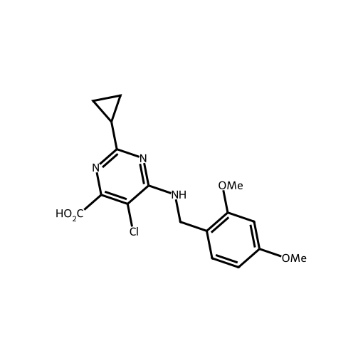 COc1ccc(CNc2nc(C3CC3)nc(C(=O)O)c2Cl)c(OC)c1